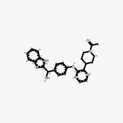 CC(=O)N1CCC(c2nccnc2Oc2ccc(C(O)c3nc4ccccc4[nH]3)cc2)CC1